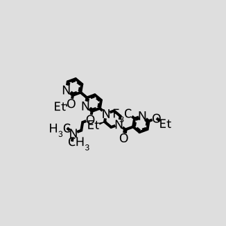 CCOc1ccc(C(=O)N2CCN(c3ccc(-c4cccnc4OCC)nc3OCCN(C)C)[C@H](CC)C2)c(C(F)(F)F)n1